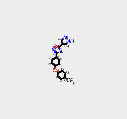 FC(F)(F)c1ccc(Oc2ccc(-c3noc(-c4cn[nH]c4)n3)cc2)cc1